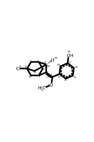 CO/C(=C1\C2CC3CC(Cl)(C2)C[C@H]13)c1cccc(O)c1